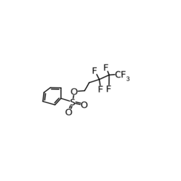 O=S(=O)(OCCC(F)(F)C(F)(F)C(F)(F)F)c1ccccc1